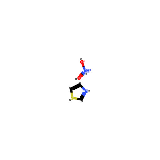 O=[NH+][O-].c1cscn1